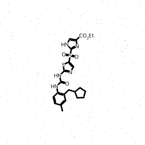 CCOC(=O)c1c[nH]c(S(=O)(=O)c2cnc(NC(=O)Nc3ccc(C)cc3CC3CCCC3)s2)n1